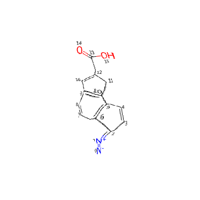 [N-]=[N+]=C1C=Cc2c1ccc1c2CC(C(=O)O)=C1